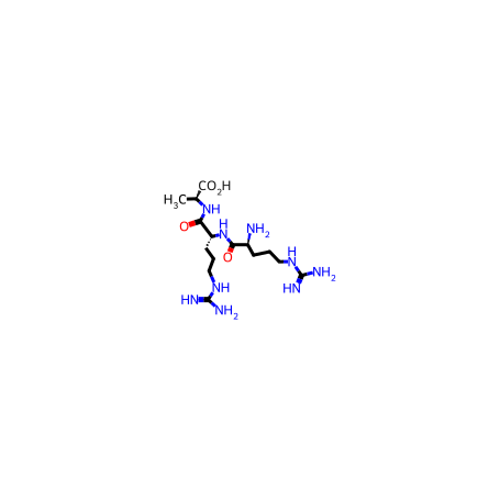 C[C@H](NC(=O)[C@@H](CCCNC(=N)N)NC(=O)[C@@H](N)CCCNC(=N)N)C(=O)O